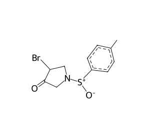 Cc1ccc([S+]([O-])N2CC(=O)C(Br)C2)cc1